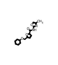 Cc1coc(NC(=O)c2ccc(COc3ccccc3)o2)n1